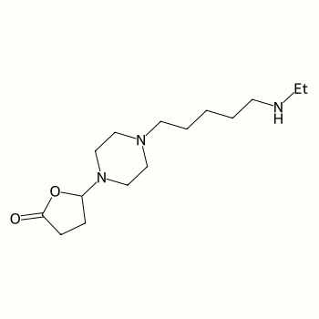 CCNCCCCCN1CCN(C2CCC(=O)O2)CC1